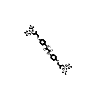 CC(COc1ccc(NC(=O)C(=O)Nc2ccc(OCC(C)C[Si](C)(O[Si](C)(C)C)O[Si](C)(C)C)cc2)cc1)C[Si](C)(O[Si](C)(C)C)O[Si](C)(C)C